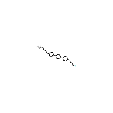 CCCCCc1ccc(-c2ccc([C@H]3CC[C@H](CC/C=C/F)CC3)cc2)cc1